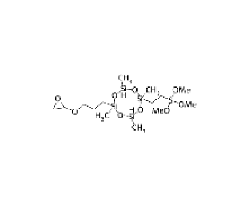 CO[Si](CC[Si]1(C)O[SiH](C)O[Si](C)(CCCOC2CO2)O[SiH](C)O1)(OC)OC